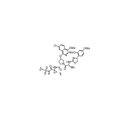 C=C[C@@H]1C[C@]1(NC(=O)[C@@H]1C[C@@H](Oc2ncc(OC)c3ccc(Cl)cc23)CN1C(=O)[C@@H](NC1=NC(c2ccc(OC)cc2OC)CS1)C(C)(C)C)C(=O)NS(=O)(=O)C1CC1